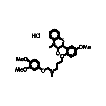 COc1ccc(OCCCN(C)COc2ccc(OC)c(OC)c2)c(C2Sc3ccccc3N(C)C2=O)c1.Cl